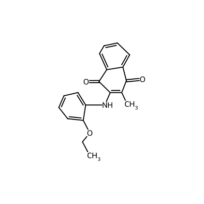 CCOc1ccccc1NC1=C(C)C(=O)c2ccccc2C1=O